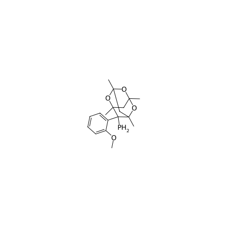 COc1ccccc1C1(P)C2(C)CC3(C)OC(C)(CC1(C)O3)O2